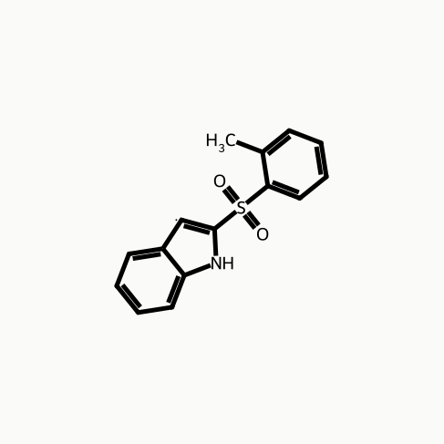 Cc1ccccc1S(=O)(=O)c1[c]c2ccccc2[nH]1